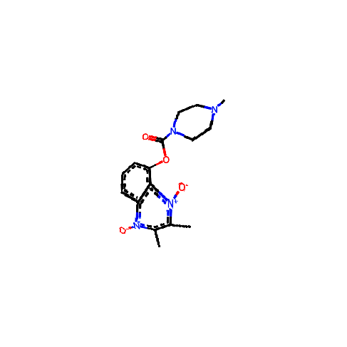 Cc1c(C)[n+]([O-])c2c(OC(=O)N3CCN(C)CC3)cccc2[n+]1[O-]